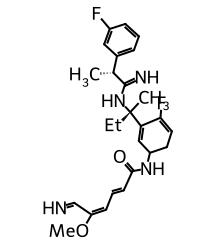 CC[C@](C)(NC(=N)[C@H](C)c1cccc(F)c1)C1=CC(NC(=O)/C=C/C=C(\C=N)OC)CC=C1F